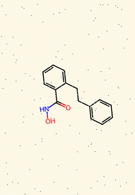 O=C(NO)c1ccccc1CCc1ccccc1